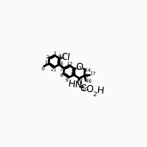 Cc1ccc(Cl)c(-c2ccc3c(c2)OCC(C)(C)C3NC(=O)O)c1